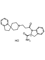 Cl.NC(=O)[C@@H]1Cc2ccccc2N1C(=O)CCN1CCC2(CCc3ccccc32)CC1